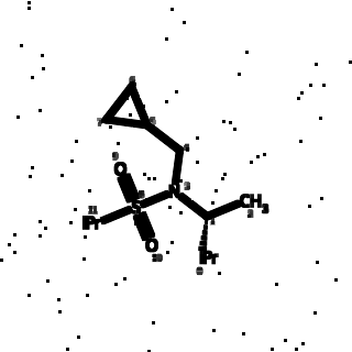 CC(C)[C@@H](C)N(CC1CC1)S(=O)(=O)C(C)C